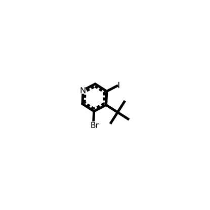 CC(C)(C)c1c(Br)cncc1I